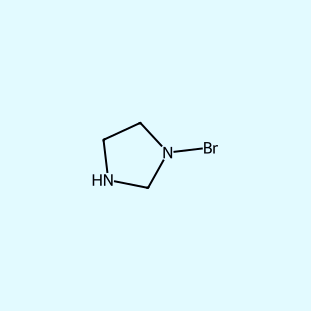 BrN1CCNC1